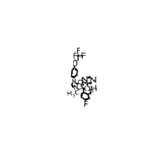 C[C@@H](n1ccn(-c2ccc(OCC(F)(F)F)cc2)c1=O)[C@](O)(Cn1cncn1)c1ccc(F)cc1F